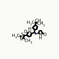 Cc1nc(C)c(-c2ccc(/C(=C/[C@H]3CCC(=O)N3)c3ccc(C(C)(C)C)cc3)[nH]c2=O)s1